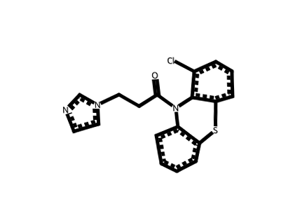 O=C(CCn1ccnc1)N1c2ccccc2Sc2cccc(Cl)c21